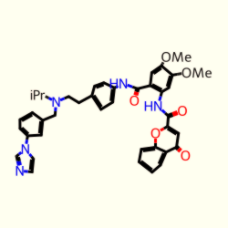 COc1cc(NC(=O)c2cc(=O)c3ccccc3o2)c(C(=O)Nc2ccc(CCN(Cc3cccc(-n4ccnc4)c3)C(C)C)cc2)cc1OC